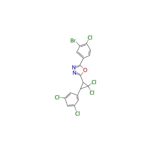 Clc1cc(Cl)cc(C2C(c3nnc(-c4ccc(Cl)c(Br)c4)o3)C2(Cl)Cl)c1